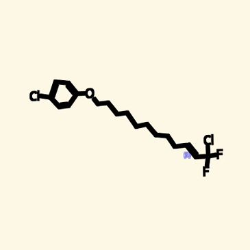 FC(F)(Cl)/C=C/CCCCCCCCCOc1ccc(Cl)cc1